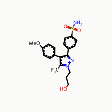 COc1ccc(-c2c(-c3ccc(S(N)(=O)=O)cc3)nn(CCCO)c2C(F)(F)F)cc1